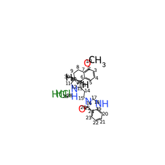 COc1cccc2c1CC[C@H]1CNC(CCN3CNc4ccccc4C3=O)[C@@H]21.Cl.Cl